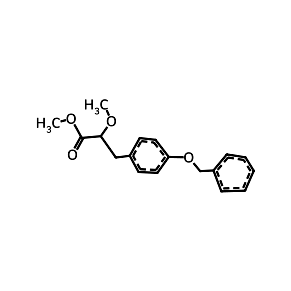 COC(=O)C(Cc1ccc(OCc2ccccc2)cc1)OC